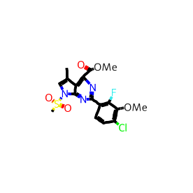 COC(=O)c1nc(-c2ccc(Cl)c(OC)c2F)nc2c1c(C)cn2S(C)(=O)=O